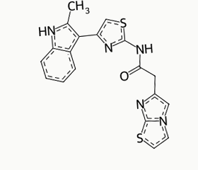 Cc1[nH]c2ccccc2c1-c1csc(NC(=O)Cc2cn3ccsc3n2)n1